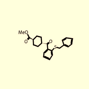 COC(=O)[C@H]1CC[C@H](C(=O)c2ccccc2SCc2ccccc2)CC1